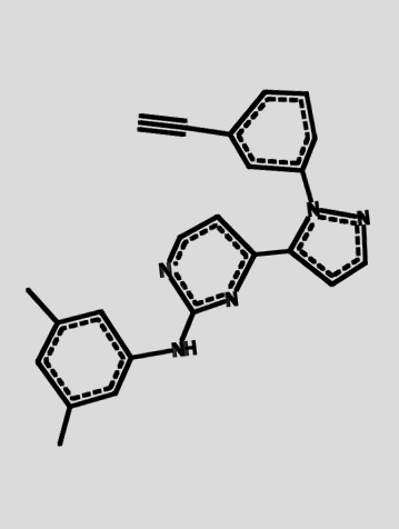 C#Cc1cccc(-n2nccc2-c2ccnc(Nc3cc(C)cc(C)c3)n2)c1